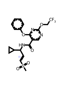 CS(=O)(=O)/C=C/C(NC(=O)c1cnc(OCC(F)(F)F)nc1Oc1ccccc1)C1CC1